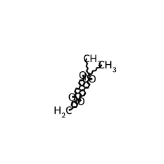 C=Cc1ccc(N2C(=O)c3ccc4c5ccc6c7c(ccc(c8ccc(c3c48)C2=O)c75)C(=O)N(C(CCCCCC)CCCCCC)C6=O)cc1